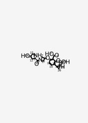 O=C(O)c1c(OC2CN(C(=O)[C@H]3C[C@@H](O)CN3)C2)ccc2c1OB(O)[C@@H]1CC21